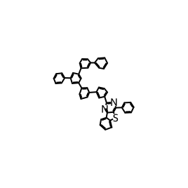 c1ccc(-c2cccc(-c3cc(-c4ccccc4)cc(-c4cccc(-c5cccc(-c6nc(-c7ccccc7)c7sc8ccccc8c7n6)c5)c4)c3)c2)cc1